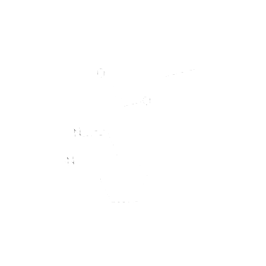 CCOC(=O)C1=N[N]C2=C1CCC2